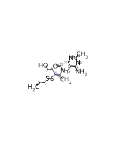 C=CCSS/C(CCO)=C(\C)N(C=O)Cc1cnc(C)nc1N